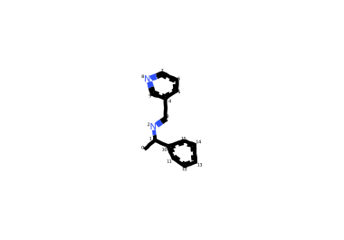 CC(/N=C/c1cccnc1)c1ccccc1